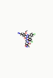 CCOc1cc(C(C)(C)C#N)ccc1C1=N[C@@H](C2C=CC(Cl)=CC2)[C@@H](c2ccc(Cl)cc2)N1C(=O)N1CCN(C(=O)c2c(C)noc2C)CC1